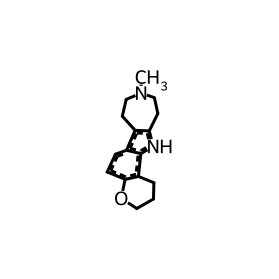 CN1CCc2[nH]c3c4c(ccc3c2CC1)OCCC4